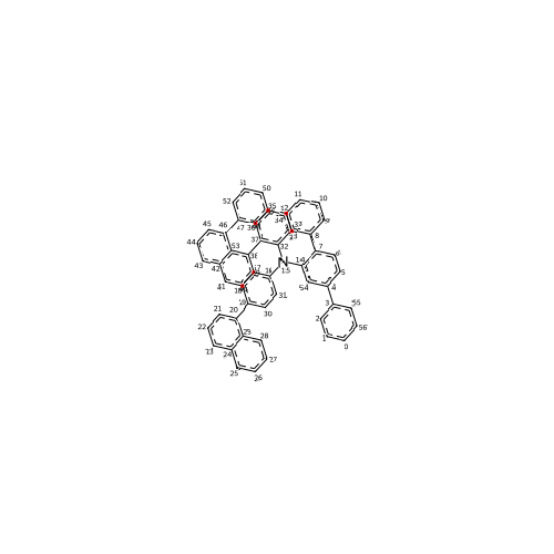 c1ccc(-c2ccc(-c3ccccc3)c(N(c3ccc(-c4cccc5ccccc45)cc3)c3ccccc3-c3cccc4cccc(-c5ccccc5)c34)c2)cc1